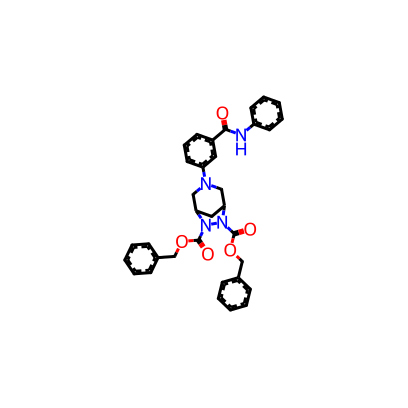 O=C(Nc1ccccc1)c1cccc(N2CC3CC(C2)N(C(=O)OCc2ccccc2)N3C(=O)OCc2ccccc2)c1